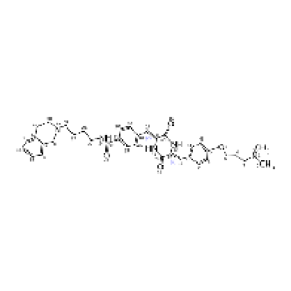 CN(C)CCCOc1ccc(/C=c2\[nH]c(=O)/c(=C/c3ccc(C(=O)NCCCCN4CCc5ccccc5C4)cc3)[nH]c2=O)cc1